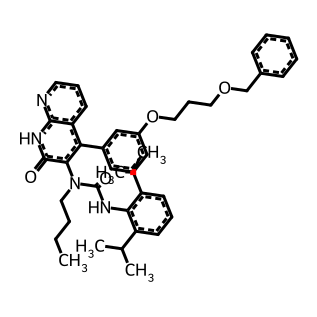 CCCCN(C(=O)Nc1c(C(C)C)cccc1C(C)C)c1c(-c2cccc(OCCCOCc3ccccc3)c2)c2cccnc2[nH]c1=O